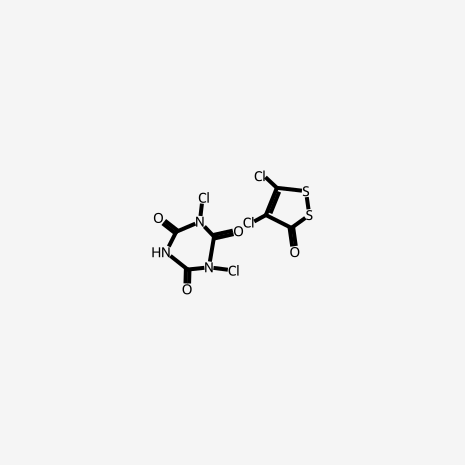 O=c1[nH]c(=O)n(Cl)c(=O)n1Cl.O=c1ssc(Cl)c1Cl